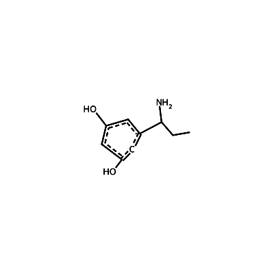 CCC(N)c1cc(O)cc(O)c1